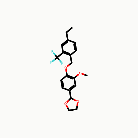 CCc1ccc(COc2ccc(C3OCCO3)cc2OC)c(C(F)(F)F)c1